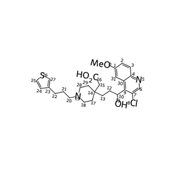 COc1ccc2ncc(Cl)c(C(O)CCC3(CC(=O)O)CCN(CCCc4ccsc4)CC3)c2c1